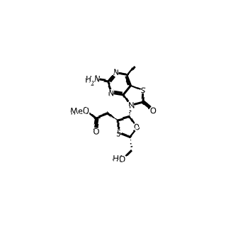 COC(=O)C[C@@H]1S[C@@H](CO)O[C@H]1n1c(=O)sc2c(C)nc(N)nc21